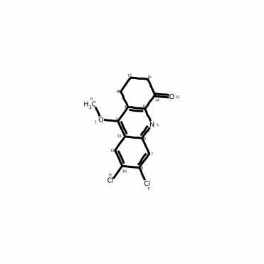 COc1c2c(nc3cc(Cl)c(Cl)cc13)C(=O)CCC2